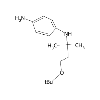 CC(C)(CCOC(C)(C)C)Nc1ccc(N)cc1